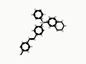 Cc1ccc(/C=C/c2ccc(N(c3ccccc3)c3ccc4c(c3)CCCC4)cc2)cc1